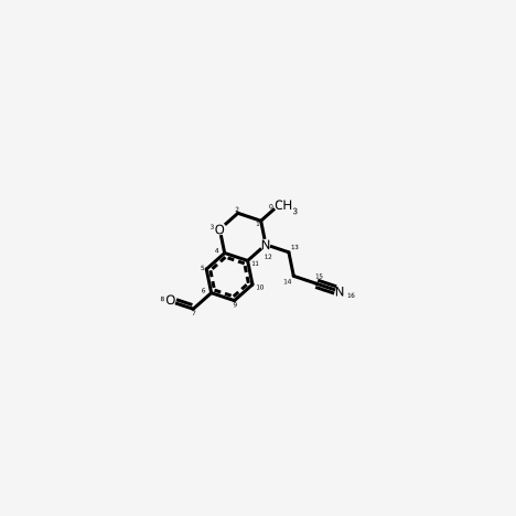 CC1COc2cc(C=O)ccc2N1CCC#N